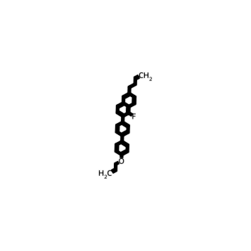 C=CCCc1ccc2c(F)c(-c3ccc(-c4ccc(OCC=C)cc4)cc3)ccc2c1